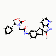 O=C(CN1C(=O)OC[C@H]1c1ccccc1)Nc1ccc2c(c1)CC1(C2)C(=O)Nc2ncccc21